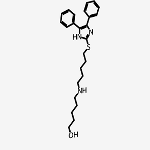 OCCCCCNCCCCCSc1nc(-c2ccccc2)c(-c2ccccc2)[nH]1